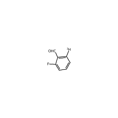 [2H]c1cccc(F)c1C=O